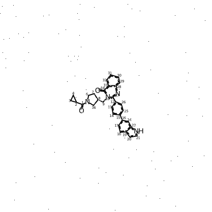 O=C(C1CC1)N1CC[C@@H](Cn2c(-c3ccc(-c4ccc5cc[nH]c5c4)cc3)nc3ccccc3c2=O)C1